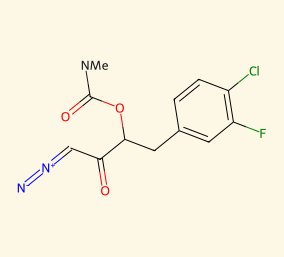 CNC(=O)OC(Cc1ccc(Cl)c(F)c1)C(=O)C=[N+]=[N-]